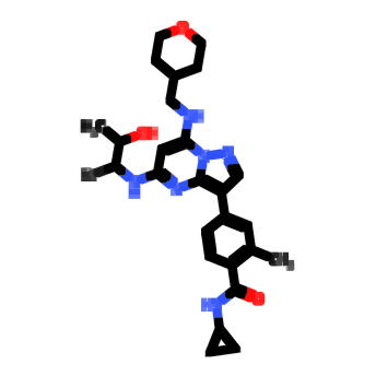 CCC(Nc1cc(NCC2CCOCC2)n2ncc(-c3ccc(C(=O)NC4CC4)c(C)c3)c2n1)C(C)O